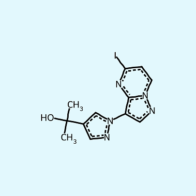 CC(C)(O)c1cnn(-c2cnn3ccc(I)nc23)c1